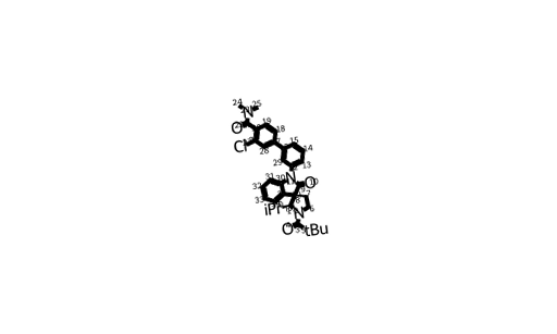 CC(C)[C@@H]1N(C(=O)C(C)(C)C)CC[C@@]12C(=O)N(c1cccc(-c3ccc(C(=O)N(C)C)c(Cl)c3)c1)c1ccccc12